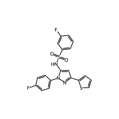 O=S(=O)(Nc1cc(-c2cccs2)nn1-c1ccc(F)cc1)c1cccc(F)c1